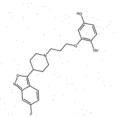 Oc1[c]cc(O)c(OCCCN2CCC(c3onc4cc(F)ccc34)CC2)c1